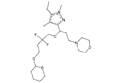 CCc1c(I)c(C(CCN2CCOCC2)OCC(F)(F)CCOC2CCCCO2)nn1C